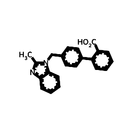 Cc1nc2ccccc2n1Cc1ccc(-c2ccccc2C(=O)O)cc1